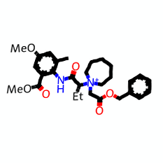 CCC(C(=O)Nc1c(C)cc(OC)cc1C(=O)OC)[N+]1(CC(=O)OCc2ccccc2)CCCCCC1